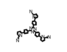 N#Cc1cccc(-c2ccc(-c3nc(-c4ccc(-c5cccc(C#N)n5)cc4)nc(-c4ccc(-c5cccc(C#N)n5)cc4)n3)cc2)n1